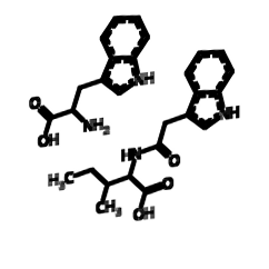 CCC(C)C(NC(=O)Cc1c[nH]c2ccccc12)C(=O)O.NC(Cc1c[nH]c2ccccc12)C(=O)O